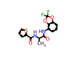 CC(NC(=O)c1cccs1)C(=O)Nc1cccc2c1OC(F)(F)O2